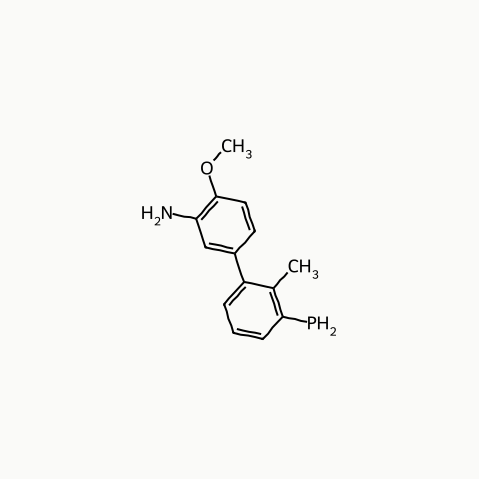 COc1ccc(-c2cccc(P)c2C)cc1N